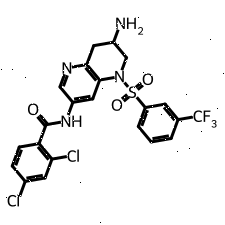 NC1Cc2ncc(NC(=O)c3ccc(Cl)cc3Cl)cc2N(S(=O)(=O)c2cccc(C(F)(F)F)c2)C1